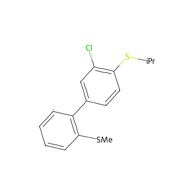 CSc1ccc[c]c1-c1ccc(SC(C)C)c(Cl)c1